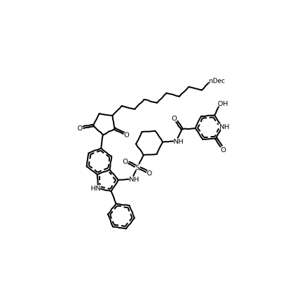 CCCCCCCCCCCCCCCCCCC1CC(=O)C(c2ccc3[nH]c(-c4ccccc4)c(NS(=O)(=O)C4CCCC(NC(=O)c5cc(O)[nH]c(=O)c5)C4)c3c2)C1=O